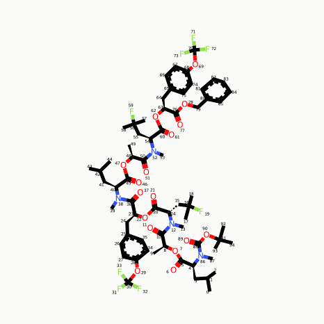 CC(C)C[C@@H](C(=O)O[C@@H](C)C(=O)N(C)[C@@H](CC(C)(C)F)C(=O)O[C@@H](Cc1ccc(OC(F)(F)F)cc1)C(=O)N(C)[C@@H](CC(C)C)C(=O)O[C@@H](C)C(=O)N(C)[C@@H](CC(C)(C)F)C(=O)O[C@@H](Cc1ccc(OC(F)(F)F)cc1)C(=O)OCc1ccccc1)N(C)C(=O)OC(C)(C)C